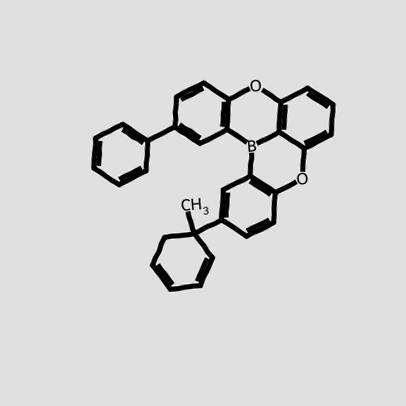 CC1(c2ccc3c(c2)B2c4cc(-c5ccccc5)ccc4Oc4cccc(c42)O3)C=CC=CC1